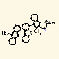 C=C/C=C\c1c(C)c(-c2cccc3c2sc2cccc(-c4c5ccccc5c(C(C)(C)C)c5ccccc45)c23)c2ccccc2c1C(C)(C)C